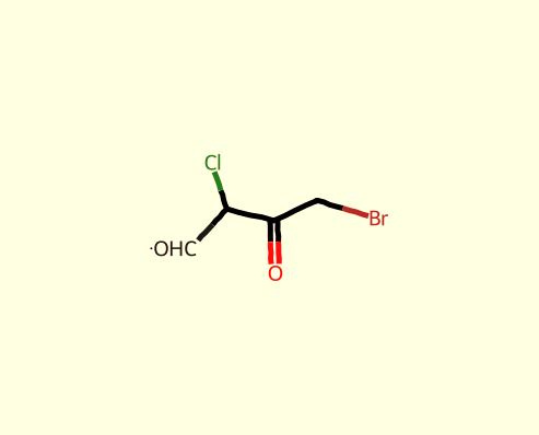 O=[C]C(Cl)C(=O)CBr